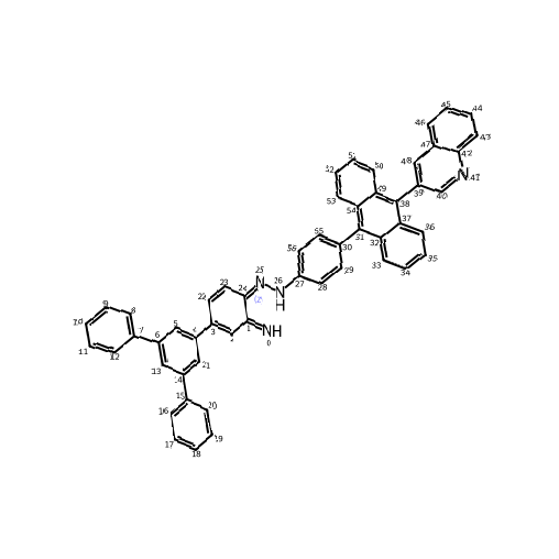 N=C1C=C(c2cc(-c3ccccc3)cc(-c3ccccc3)c2)C=C/C1=N/Nc1ccc(-c2c3ccccc3c(-c3cnc4ccccc4c3)c3ccccc23)cc1